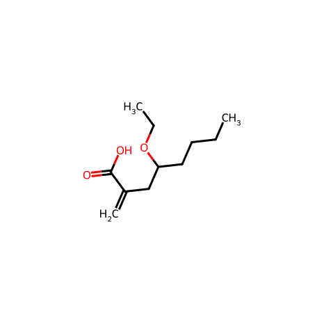 C=C(CC(CCCC)OCC)C(=O)O